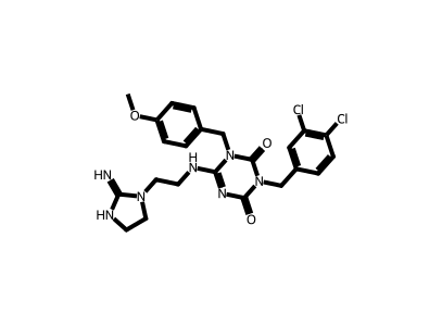 COc1ccc(Cn2c(NCCN3CCNC3=N)nc(=O)n(Cc3ccc(Cl)c(Cl)c3)c2=O)cc1